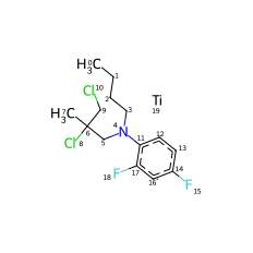 CCCCN(CC(C)(Cl)CCl)c1ccc(F)[c]c1F.[Ti]